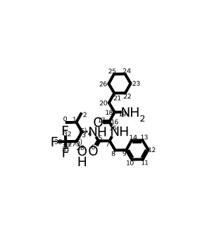 CC(C)[C@H](NC(=O)C(Cc1ccccc1)NC(=O)C(N)CC1CCCCC1)[C@H](O)C(F)(F)F